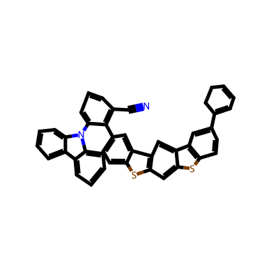 N#Cc1cccc(-n2c3ccccc3c3ccccc32)c1-c1ccc2sc3cc4sc5ccc(C6=CC=CCC6)cc5c4cc3c2c1